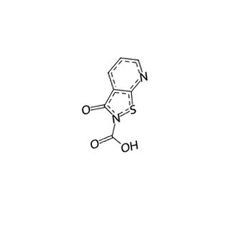 O=C(O)n1sc2ncccc2c1=O